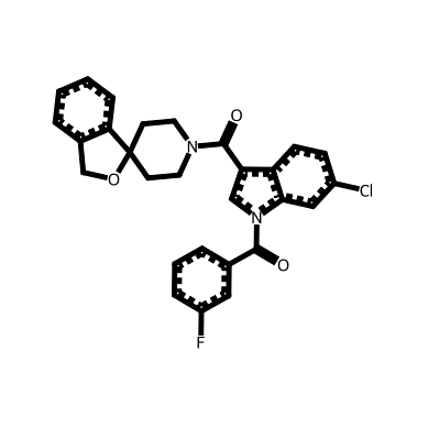 O=C(c1cn(C(=O)c2cccc(F)c2)c2cc(Cl)ccc12)N1CCC2(CC1)OCc1ccccc12